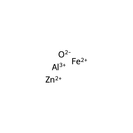 [Al+3].[Fe+2].[O-2].[Zn+2]